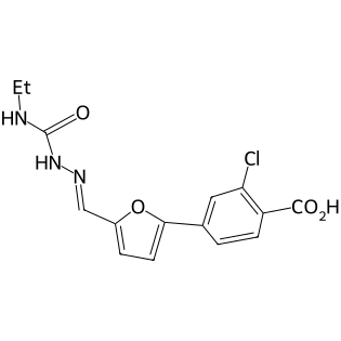 CCNC(=O)NN=Cc1ccc(-c2ccc(C(=O)O)c(Cl)c2)o1